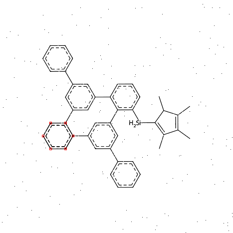 CC1=C(C)C(C)C([SiH2]c2cccc(-c3cc(-c4ccccc4)cc(-c4ccccc4)c3)c2-c2cc(-c3ccccc3)cc(-c3ccccc3)c2)=C1C